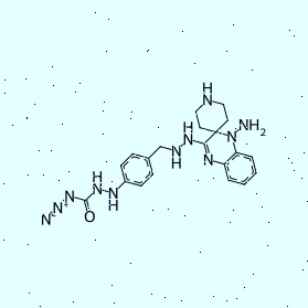 [N-]=[N+]=NC(=O)NNc1ccc(CNNC2=Nc3ccccc3N(N)C23CCNCC3)cc1